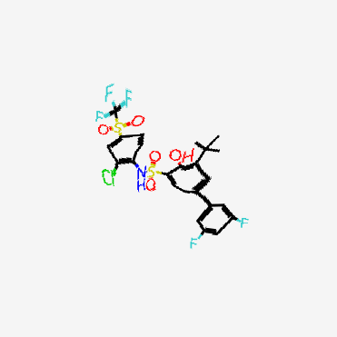 CC(C)(C)c1cc(-c2cc(F)cc(F)c2)cc(S(=O)(=O)Nc2ccc(S(=O)(=O)C(F)(F)F)cc2Cl)c1O